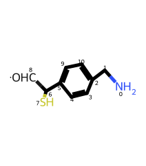 NCc1ccc(C(S)[C]=O)cc1